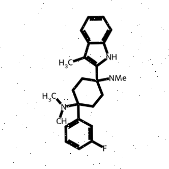 CNC1(c2[nH]c3ccccc3c2C)CCC(c2cccc(F)c2)(N(C)C)CC1